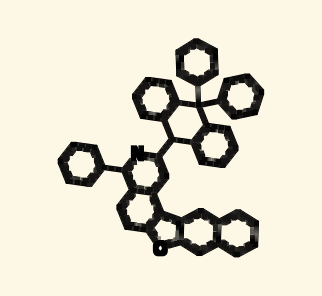 c1ccc(-c2nc(C3c4ccccc4C(c4ccccc4)(c4ccccc4)c4ccccc43)cc3c2ccc2oc4cc5ccccc5cc4c23)cc1